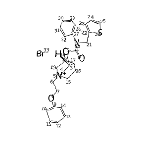 O=C(O[C@H]1C[N+]2(CCOc3ccccc3)CCC1CC2)N(Cc1cccs1)c1ccccc1.[Br-]